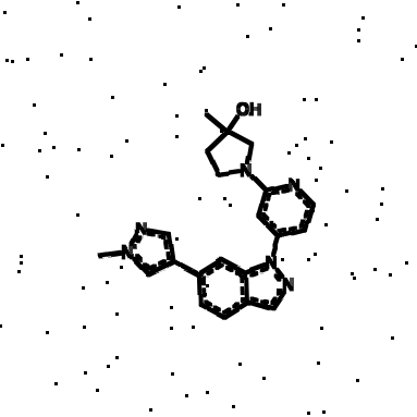 Cn1cc(-c2ccc3cnn(-c4ccnc(N5CCC(C)(O)C5)c4)c3c2)cn1